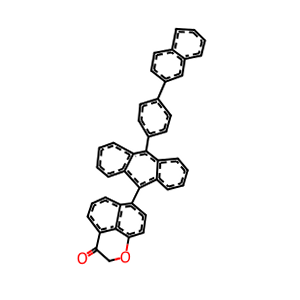 O=C1COc2ccc(-c3c4ccccc4c(-c4ccc(-c5ccc6ccccc6c5)cc4)c4ccccc34)c3cccc1c23